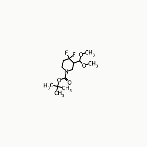 COC(OC)C1CN(C(=O)OC(C)(C)C)CCC1(F)F